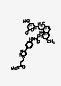 CNC(=O)CCn1cc(-c2ccc(NC(=O)O[C@H]3C[C@@H](C)C=C4C=C[C@H](C)[C@H](CC[C@@H]5C[C@@H](O)CC(=O)O5)[C@H]43)cc2)nn1